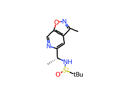 Cc1noc2cnc([C@@H](C)N[S+]([O-])C(C)(C)C)cc12